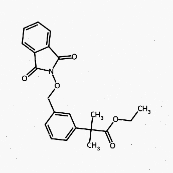 CCOC(=O)C(C)(C)c1cccc(CON2C(=O)c3ccccc3C2=O)c1